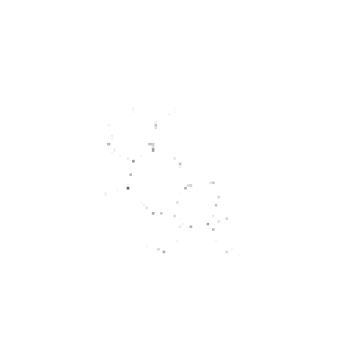 CN1Cc2c(ccc(F)c2F)C(O)c2cccc(C3(C=O)CC3)c21